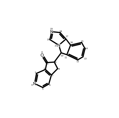 O=C1c2cnccc2CC1C1c2ccccc2-c2cncn21